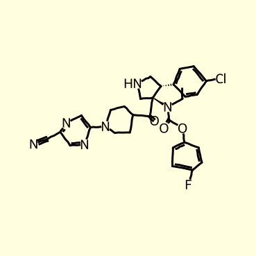 CCN(C(=O)Oc1ccc(F)cc1)[C@@]1(C(=O)C2CCN(c3cnc(C#N)cn3)CC2)CNC[C@@H]1c1ccc(Cl)cc1